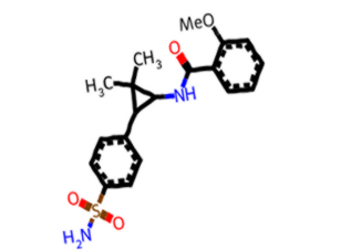 COc1ccccc1C(=O)NC1C(c2ccc(S(N)(=O)=O)cc2)C1(C)C